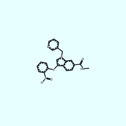 CNC(=O)c1ccc2c(Sc3ccccc3[N+](=O)[O-])cn(Cc3cccnc3)c2c1